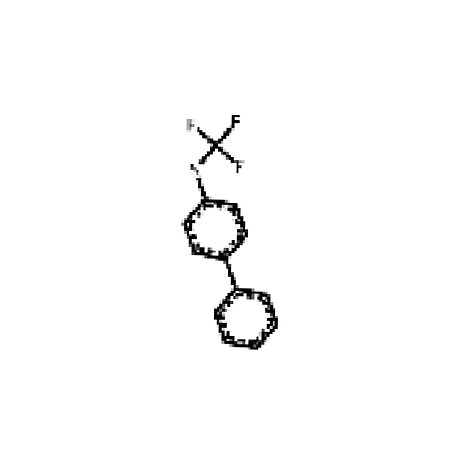 FC(F)(F)Sc1ccc(-c2ccccc2)cc1